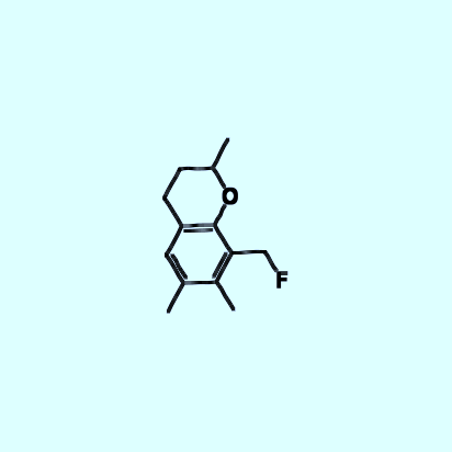 Cc1cc2c(c(CF)c1C)OC(C)CC2